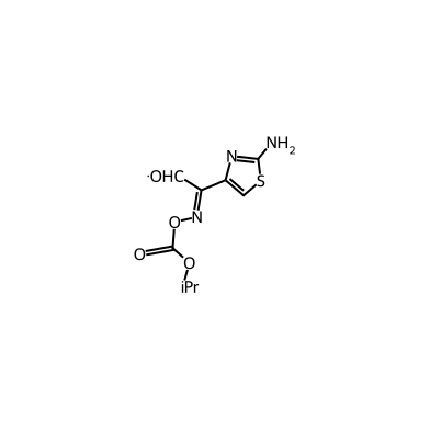 CC(C)OC(=O)ON=C([C]=O)c1csc(N)n1